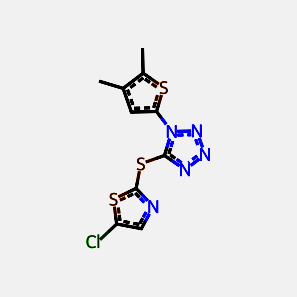 Cc1cc(-n2nnnc2Sc2ncc(Cl)s2)sc1C